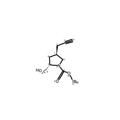 C#CC[C@@H]1C[C@@H](C(=O)O)N(C(=O)OC(C)(C)C)C1